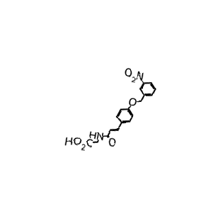 O=C(O)CNC(=O)/C=C/c1ccc(OCc2cccc([N+](=O)[O-])c2)cc1